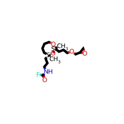 C[Si]1(CCCNC(=O)F)CCCCO[Si](C)(CCCOCC2CO2)O1